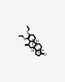 C=C1C[C@@H]2[C@@H](CC[C@]3(C)C(=O)CC[C@@H]23)[C@@]2(C)CCC(SCC)=C(SCC)C12